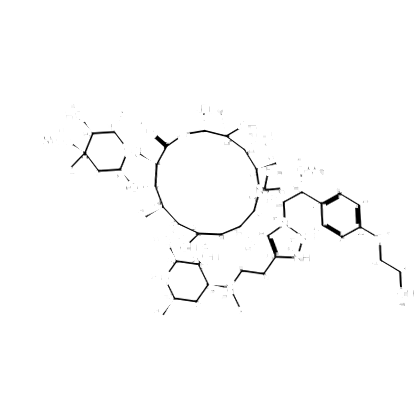 CC[C@H]1OC(=O)[C@H](C)[C@@H](O[C@H]2C[C@@](C)(OC)[C@@H](O)[C@H](C)O2)[C@H](C)[C@@H](O[C@@H]2O[C@H](C)C[C@H](N(C)CCC3=CN([C@H](CF)[C@H](OC)c4ccc(SCCO)cc4)NN3)C2O)[C@](C)(O)C[C@@H](C)CN(C)[C@H](C)[C@@H](O)[C@]1(C)O